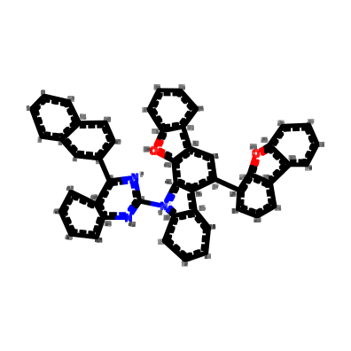 c1ccc2cc(-c3nc(-n4c5ccccc5c5c(-c6cccc7c6oc6ccccc67)cc6c7ccccc7oc6c54)nc4ccccc34)ccc2c1